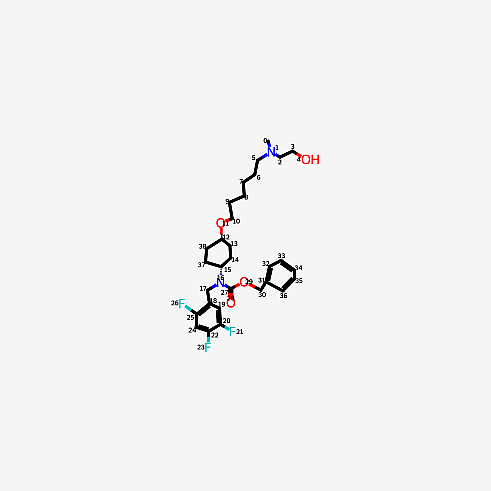 CN(CCO)CCCCCCO[C@H]1CC[C@H](N(Cc2cc(F)c(F)cc2F)C(=O)OCc2ccccc2)CC1